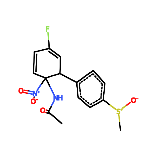 CC(=O)NC1([N+](=O)[O-])C=CC(F)=CC1c1ccc([S+](C)[O-])cc1